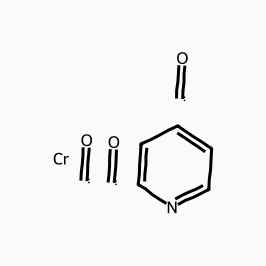 [C]=O.[C]=O.[C]=O.[Cr].c1ccncc1